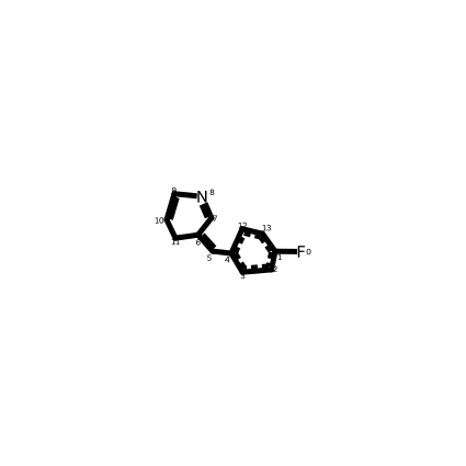 Fc1ccc(C=C2C=NC=CC2)cc1